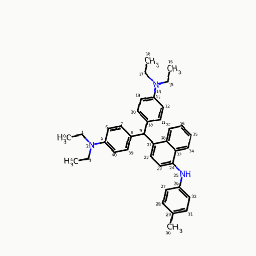 CCN(CC)c1ccc(C(c2ccc(N(CC)CC)cc2)c2ccc(Nc3ccc(C)cc3)c3ccccc23)cc1